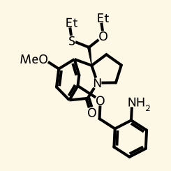 CCOC(SCC)[C@@]12CCCN1C(=O)c1cc(OC)c2cc1OCc1ccccc1N